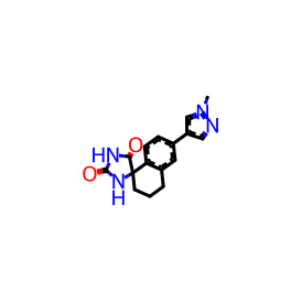 Cn1cc(-c2ccc3c(c2)CCCC32NC(=O)NC2=O)cn1